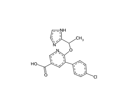 CC(Oc1ncc(C(=O)O)cc1-c1ccc(Cl)cc1)c1ncc[nH]1